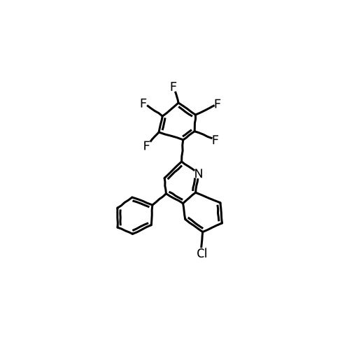 Fc1c(F)c(F)c(-c2cc(-c3ccccc3)c3cc(Cl)ccc3n2)c(F)c1F